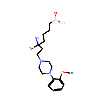 COc1ccccc1N1CCN(CCC(C)(N)CCCCB(O)O)CC1